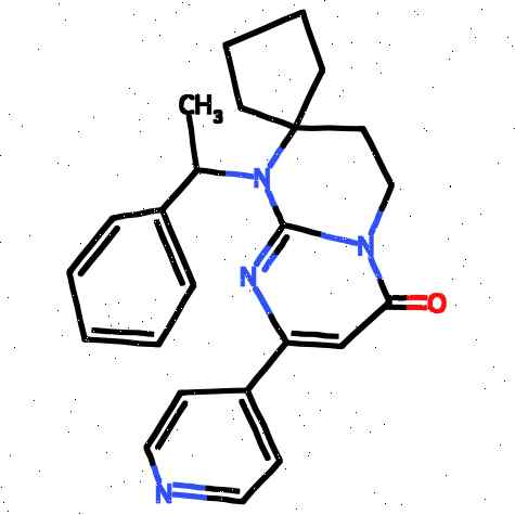 CC(c1ccccc1)N1c2nc(-c3ccncc3)cc(=O)n2CCC12CCCC2